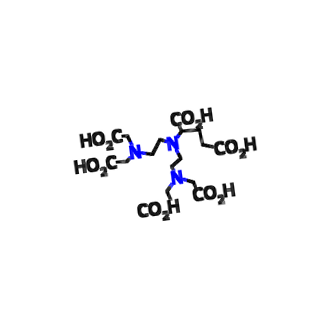 O=C(O)CCC(C(=O)O)N(CCN(CC(=O)O)CC(=O)O)CCN(CC(=O)O)CC(=O)O